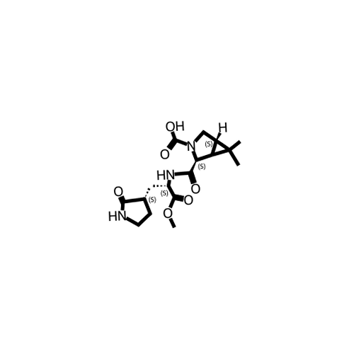 COC(=O)[C@H](C[C@@H]1CCNC1=O)NC(=O)[C@@H]1C2[C@H](CN1C(=O)O)C2(C)C